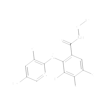 CCONC(=O)c1cc(Cl)c(F)c(F)c1Nc1ncc(C(F)(F)F)cc1Cl